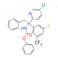 O=C(NC(Cc1ccccc1)(c1cc(F)cc(C(F)(F)F)c1)c1ccc(Cl)cn1)Oc1ccccc1